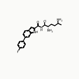 CC(N)CC[C@H](N)C(Cl)NC(=O)c1cc2ccc(-c3ccc(F)cc3)cc2[nH]1